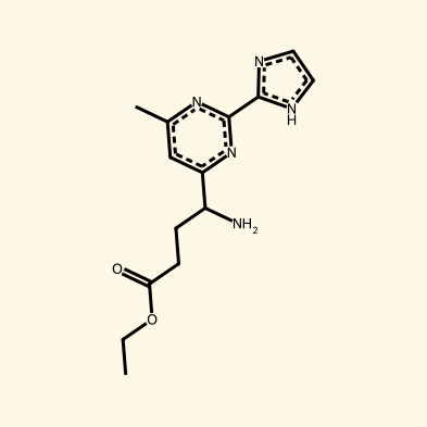 CCOC(=O)CCC(N)c1cc(C)nc(-c2ncc[nH]2)n1